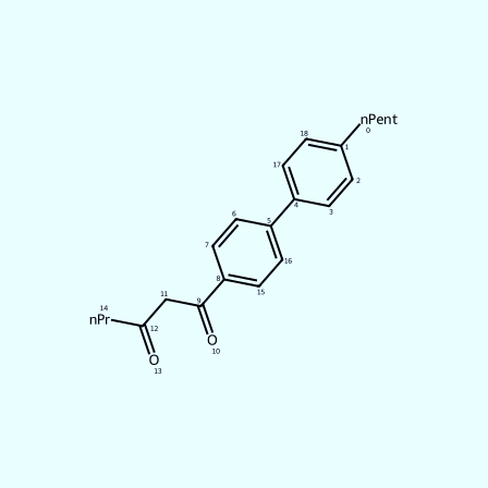 CCCCCc1ccc(-c2ccc(C(=O)CC(=O)CCC)cc2)cc1